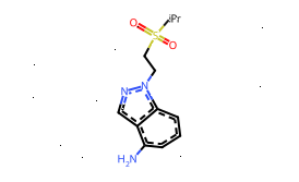 CC(C)S(=O)(=O)CCn1ncc2c(N)cccc21